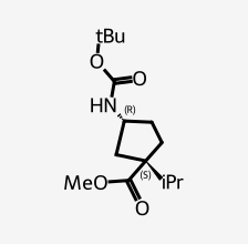 COC(=O)[C@@]1(C(C)C)CC[C@@H](NC(=O)OC(C)(C)C)C1